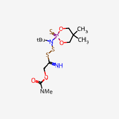 CNC(=O)OCC(=N)SSN(C(C)(C)C)P1(=S)OCC(C)(C)CO1